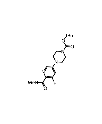 CNC(=O)c1ncc(N2CCN(C(=O)OC(C)(C)C)CC2)cc1F